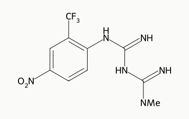 CNC(=N)NC(=N)Nc1ccc([N+](=O)[O-])cc1C(F)(F)F